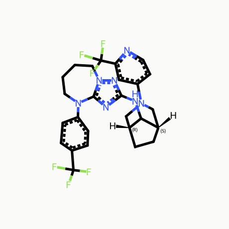 FC(F)(F)c1ccc(N2CCCCn3nc(NC4[C@@H]5CC[C@H]4CN(c4ccnc(C(F)(F)F)c4)C5)nc32)cc1